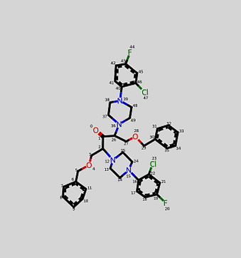 O=C(C(COCc1ccccc1)N1CCN(c2ccc(F)cc2Cl)CC1)C(COCc1ccccc1)N1CCN(c2ccc(F)cc2Cl)CC1